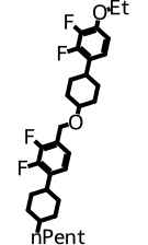 CCCCCC1CCC(c2ccc(COC3CCC(c4ccc(OCC)c(F)c4F)CC3)c(F)c2F)CC1